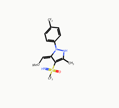 COC=C1C(S(=N)(=O)C(F)(F)F)=C(C)NN1c1ccc(C(F)(F)F)cc1